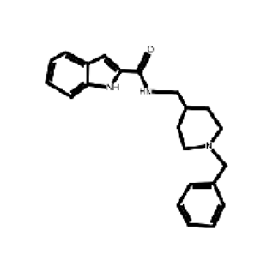 O=C(NCC1CCN(Cc2ccccc2)CC1)c1cc2ccccc2[nH]1